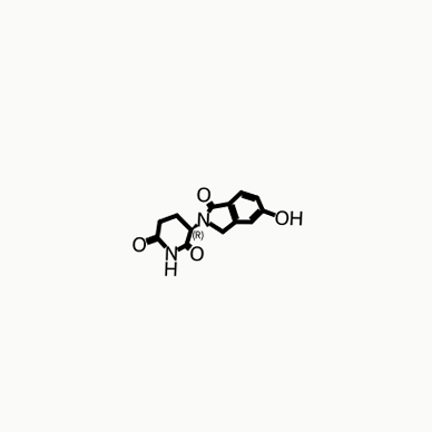 O=C1CC[C@@H](N2Cc3cc(O)ccc3C2=O)C(=O)N1